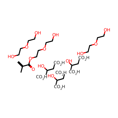 C=C(C)C(=O)OCCOCCO.O=C(O)CC(O)C(=O)O.O=C(O)CC(O)C(=O)O.O=C(O)CC(O)C(=O)O.OCCOCCO.OCCOCCO